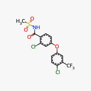 CS(=O)(=O)NC(=O)c1ccc(Oc2ccc(Cl)c(C(F)(F)F)c2)cc1Cl